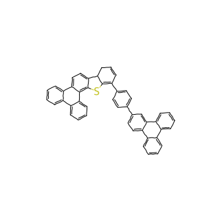 C1=CC(c2ccc(-c3ccc4c5ccccc5c5ccccc5c4c3)cc2)=C2Sc3c(ccc4c5ccccc5c5ccccc5c34)C2C1